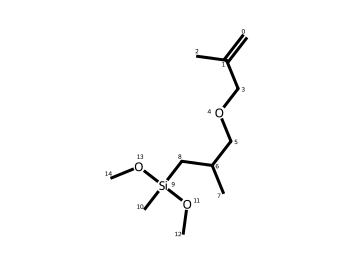 C=C(C)COCC(C)C[Si](C)(OC)OC